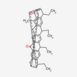 CCC1c2cc3c4cc2Cc2cc5c(cc21)C(CC)c1cc2c(c(C)c1C5=O)Cc1cc(c(cc1C2CC)C3CC)C4=O